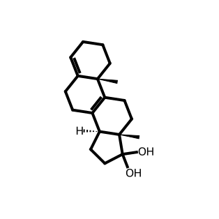 C[C@]12CCCC=C1CCC1=C2CC[C@@]2(C)[C@H]1CCC2(O)O